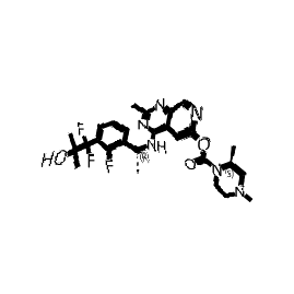 Cc1nc(N[C@H](C)c2cccc(C(F)(F)C(C)(C)O)c2F)c2cc(OC(=O)N3CCN(C)C[C@@H]3C)ncc2n1